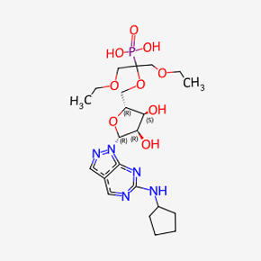 CCOCC(COCC)(OC[C@H]1O[C@@H](n2ncc3cnc(NC4CCCC4)nc32)[C@H](O)[C@@H]1O)P(=O)(O)O